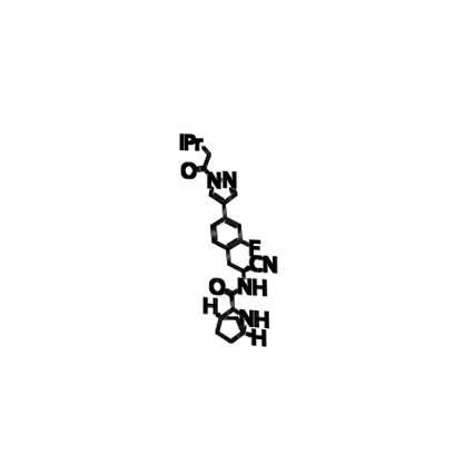 CC(C)CC(=O)n1cc(-c2ccc(C[C@@H](C#N)NC(=O)[C@H]3N[C@@H]4CC[C@H]3C4)c(F)c2)cn1